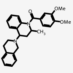 COc1ccc(C(=O)N2c3ccccc3C(N3CCc4ccccc4C3)CC2C)cc1OC